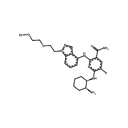 CCOCCOCCn1ncc2c(Nc3nc(N[C@@H]4CCCC[C@@H]4N)c(F)cc3C(N)=O)cccc21